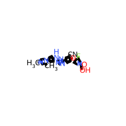 CC1CN(C)CCN1c1ccc(Nc2ncnc(-c3ccc(O[C@H]4CCN(C(=O)CO)CC4F)c(C#N)c3)n2)cc1